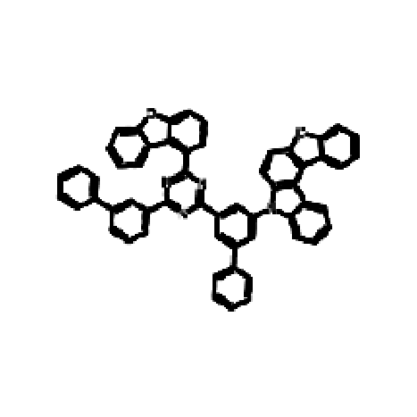 c1ccc(-c2cccc(-c3nc(-c4cc(-c5ccccc5)cc(-n5c6ccccc6c6c7c(ccc65)oc5ccccc57)c4)nc(-c4cccc5oc6ccccc6c45)n3)c2)cc1